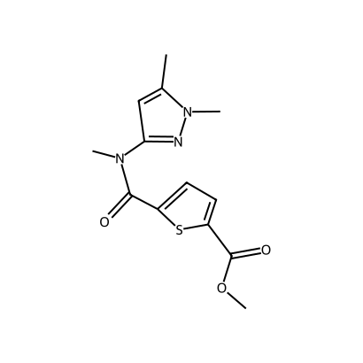 COC(=O)c1ccc(C(=O)N(C)c2cc(C)n(C)n2)s1